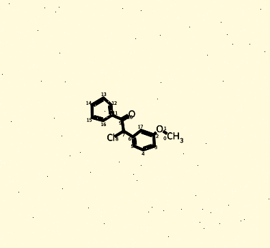 COc1cccc(C(Cl)C(=O)c2ccccc2)c1